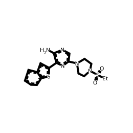 CCS(=O)(=O)N1CCN(c2cnc(N)c(-c3cc4ccccc4s3)n2)CC1